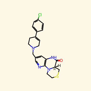 O=C1Nc2cc(CN3CC=C(c4ccc(Cl)cc4)CC3)cnc2N2CCSC[C@@H]12